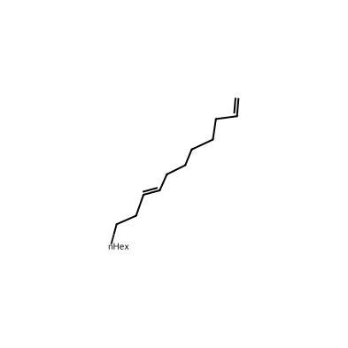 C=CCCCCC/C=C/CCCCCCCC